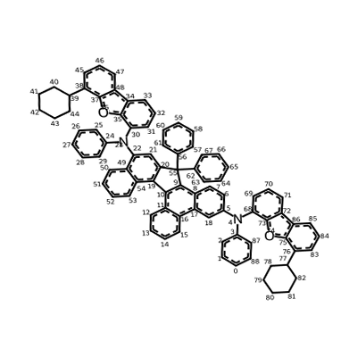 c1ccc(N(c2ccc3c4c(c5ccccc5c3c2)-c2c(cc(N(c3ccccc3)c3cccc5c3oc3c(C6CCCCC6)cccc35)c3ccccc23)C4(c2ccccc2)c2ccccc2)c2cccc3c2oc2c(C4CCCCC4)cccc23)cc1